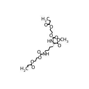 C=CC(=O)OCCOC(=O)NCCCC[C@H](NC(=O)OCCOC(=O)C=C)C(=O)OC